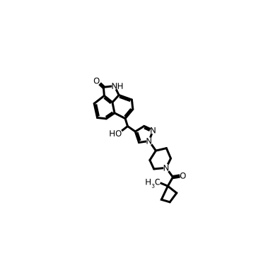 CC1(C(=O)N2CCC(n3cc(C(O)c4ccc5c6c(cccc46)C(=O)N5)cn3)CC2)CCC1